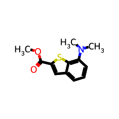 COC(=O)c1cc2cccc(N(C)C)c2s1